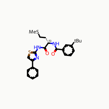 CSCC[C@H](NC(=O)c1cccc(C(C)(C)C)c1)C(=O)Nc1nc(-c2ccccc2)cs1